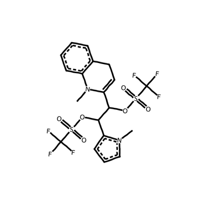 CN1C(C(OS(=O)(=O)C(F)(F)F)C(OS(=O)(=O)C(F)(F)F)c2cccn2C)=CCc2ccccc21